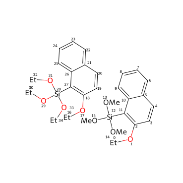 CCOc1ccc2ccccc2c1[Si](OC)(OC)OC.CCOc1ccc2ccccc2c1[Si](OCC)(OCC)OCC